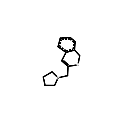 C1=C(CN2CCCC2)OCc2ccccc21